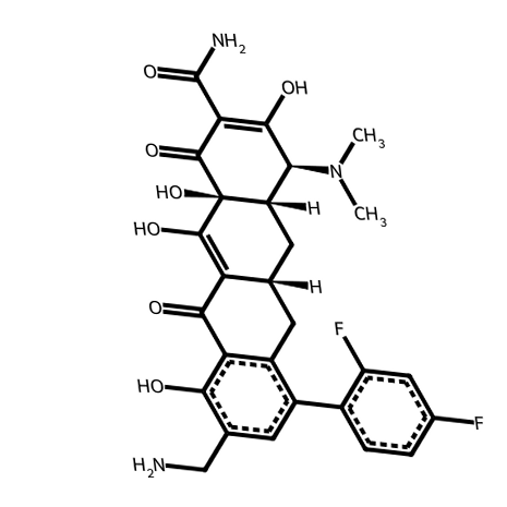 CN(C)[C@@H]1C(O)=C(C(N)=O)C(=O)[C@@]2(O)C(O)=C3C(=O)c4c(O)c(CN)cc(-c5ccc(F)cc5F)c4C[C@H]3C[C@@H]12